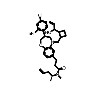 C=CC[C@H](C)N(C)C(=O)CCc1ccc2c(c1)N(CC1CCC1C(O)C=C)CC(c1ccc(Cl)cc1CCC)CO2